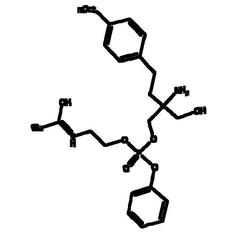 CCCCCCCCc1ccc(CCC(N)(CO)COP(=O)(OCC[SH]=C(O)C(C)(C)C)Oc2ccccc2)cc1